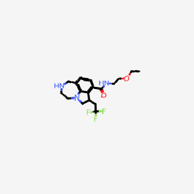 CCOCCNC(=O)c1ccc2c3c1C(CC(F)(F)F)CN3CCNC2